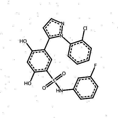 O=S(=O)(Nc1cccc(F)c1)c1cc(-c2ccnn2-c2ccccc2Cl)c(O)cc1O